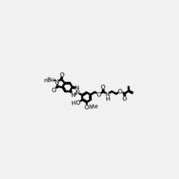 C=C(C)C(=O)OCCNC(=O)OCc1cc(OC)c(O)c(-n2nc3cc4c(cc3n2)C(=O)N(CCCC)C4=O)c1